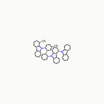 N#Cc1ccc(-n2c3ccccc3c3cccc(C#N)c32)c(-c2ccccc2-n2c3ccccc3c3c(-n4c5ccccc5c5ccccc54)cccc32)c1